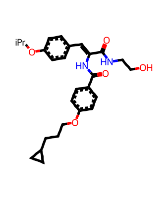 CC(C)Oc1ccc(C=C(NC(=O)c2ccc(OCCCC3CC3)cc2)C(=O)NCCO)cc1